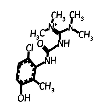 Cc1c(O)ccc(Cl)c1NC(=O)NC(N(C)C)=[N+](C)C